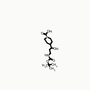 CC(C)(C)OC(=O)NCCC(O)C1CCN(C(=O)O)CC1